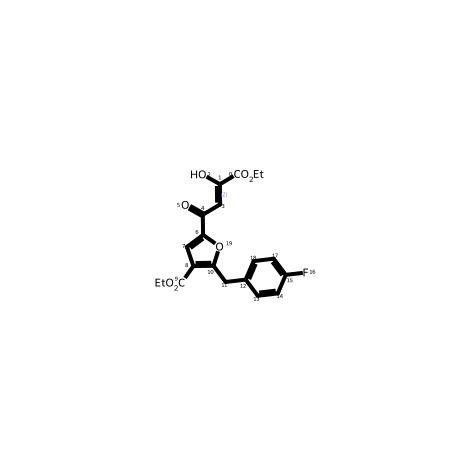 CCOC(=O)/C(O)=C/C(=O)c1cc(C(=O)OCC)c(Cc2ccc(F)cc2)o1